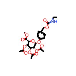 CCNC(=O)OCc1ccc(O[C@@H]2O[C@H](C(=O)OC)[C@@H](OC(C)=O)[C@H](OC(C)=O)[C@H]2OC(C)=O)cc1